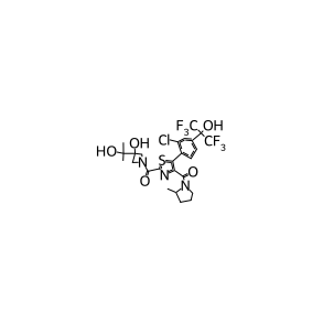 CC1CCCN1C(=O)c1nc(C(=O)N2CC(O)(C(C)(C)O)C2)sc1-c1ccc(C(O)(C(F)(F)F)C(F)(F)F)cc1Cl